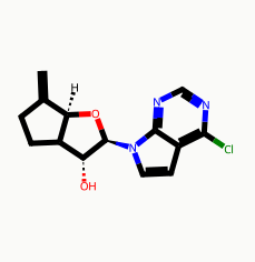 C=C1CCC2[C@@H]1O[C@@H](n1ccc3c(Cl)ncnc31)[C@@H]2O